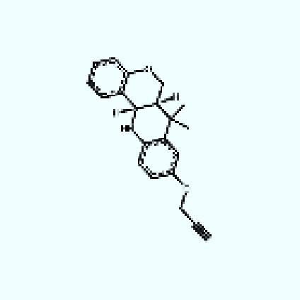 C#CCOc1ccc2c(c1)C(C)(C)[C@H]1COc3ccccc3[C@H]1N2